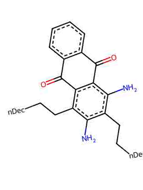 CCCCCCCCCCCCc1c(N)c(CCCCCCCCCCCC)c2c(c1N)C(=O)c1ccccc1C2=O